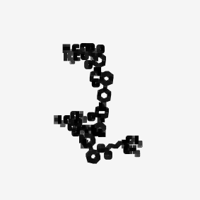 CN(C)CCCC(=O)Oc1ccccc1-c1cc(-n2cc(N3CCN(C4CCC(c5cccc6c5OCCN6[C@H]5CCC(=O)N(C(=O)OC(C)(C)C)C5=O)CC4)CC3=O)cn2)c(NC(=O)OC(C)(C)C)nn1